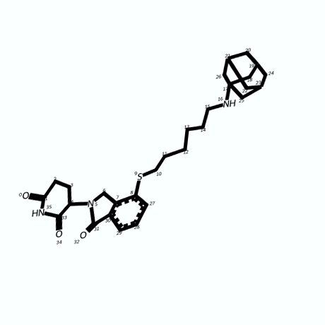 O=C1CCC(N2Cc3c(SCCCCCCNC45CC6CC(CC(C6)C4)C5)cccc3C2=O)C(=O)N1